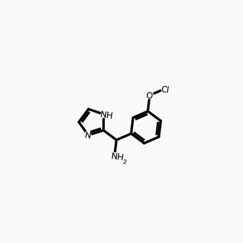 NC(c1cccc(OCl)c1)c1ncc[nH]1